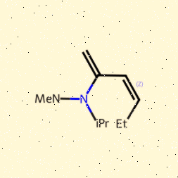 C=C(/C=C\CC)N(NC)C(C)C